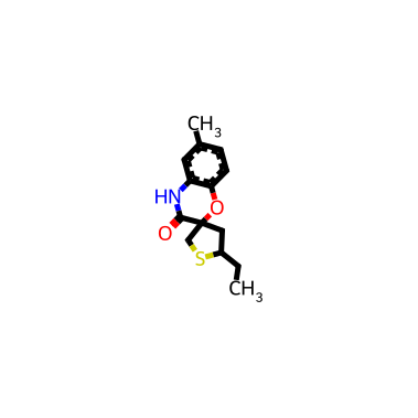 CCC1CC2(CS1)Oc1ccc(C)cc1NC2=O